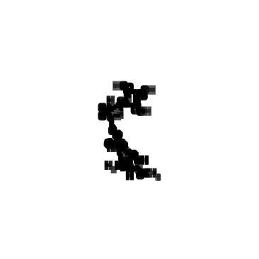 CCC(=O)NCCNC(=O)/N=C(/N)NCCCC(NC(=O)[C@H](c1ccccc1)c1cccc(OCCCCNc2c(NCCNC(=O)CN3CCN(CC(=O)O)CCN(CC(=O)O)CCN(CC(=O)O)CC3)c(=O)c2=O)c1)C(=O)NCc1ccc(O)cc1